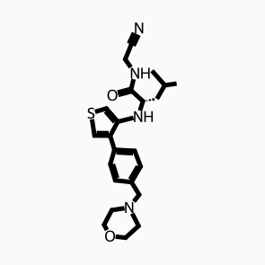 CC(C)C[C@H](Nc1cscc1-c1ccc(CN2CCOCC2)cc1)C(=O)NCC#N